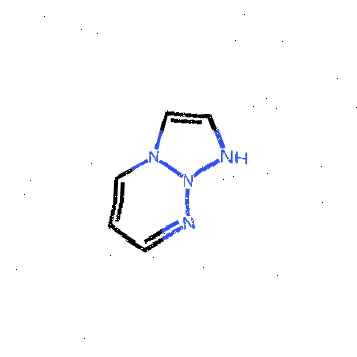 C1=CN2C=CNN2N=C1